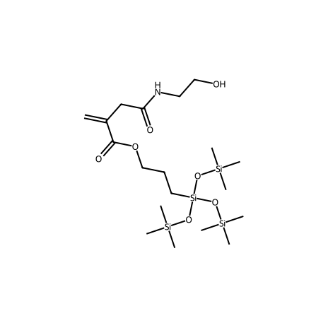 C=C(CC(=O)NCCO)C(=O)OCCC[Si](O[Si](C)(C)C)(O[Si](C)(C)C)O[Si](C)(C)C